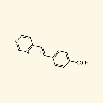 O=C(O)c1ccc(/C=C/c2ccncn2)cc1